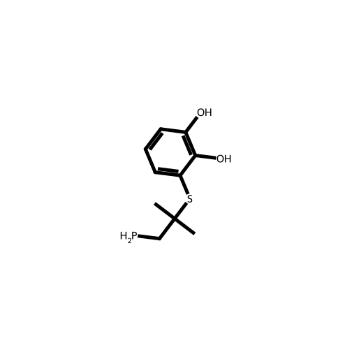 CC(C)(CP)Sc1cccc(O)c1O